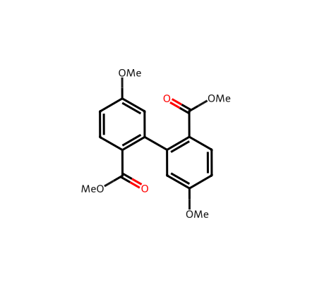 COC(=O)c1ccc(OC)cc1-c1cc(OC)ccc1C(=O)OC